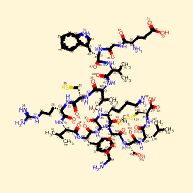 CSCC[C@H](NC(=O)[C@H](Cc1ccccc1)NC(=O)[C@@H](NC(=O)[C@H](CCCNC(=N)N)NC(=O)[C@H](CS)NC(=O)[C@@H](NC(=O)[C@@H](NC(=O)[C@H](Cc1c[nH]c2ccccc12)NC(=O)CNC(=O)[C@@H](N)CCC(=O)O)C(C)C)C(C)C)C(C)C)C(=O)N[C@@H](CCCCN)C(=O)N[C@@H](CCCCN)C(=O)N[C@@H](CO)C(=O)N[C@@H](CC(C)C)C(=O)N[C@@H](CS)C(=O)O